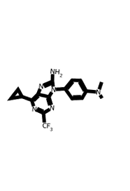 CN(C)c1ccc(-n2c(N)nc3c(C4CC4)nc(C(F)(F)F)nc32)cc1